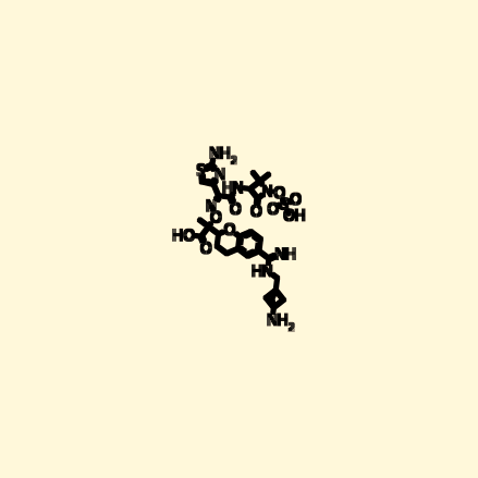 CC(ON=C(C(=O)NC1C(=O)N(OS(=O)(=O)O)C1(C)C)c1csc(N)n1)(C(=O)O)C1CCc2cc(C(=N)NCC34CC(N)(C3)C4)ccc2O1